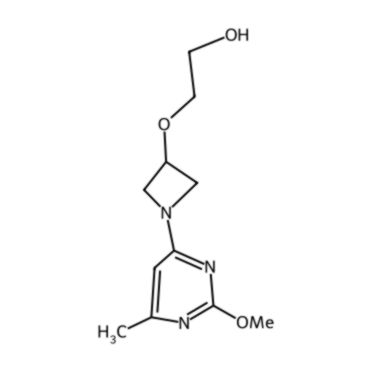 COc1nc(C)cc(N2CC(OCCO)C2)n1